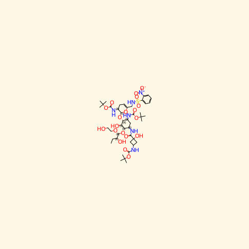 CC[C@@H](O)[C@H](OCCO)O[C@@H]1[C@@H](O)[C@H](O[C@H]2OC(CNS(=O)(=O)c3ccccc3[N+](=O)[O-])=CC[C@H]2NC(=O)OC(C)(C)C)[C@@H](NC(=O)OC(C)(C)C)C[C@H]1NC(=O)C1(O)CC(NC(=O)OC(C)(C)C)C1